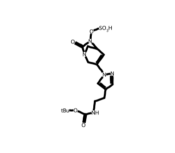 CC(C)(C)OC(=O)NCCc1cnn(C2=CC3CN(C2)C(=O)N3OS(=O)(=O)O)c1